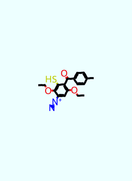 CCOc1cc([N+]#N)c(OCC)c(S)c1C(=O)c1ccc(C)cc1